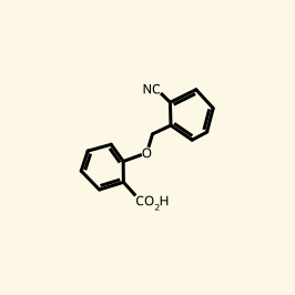 N#Cc1ccccc1COc1ccccc1C(=O)O